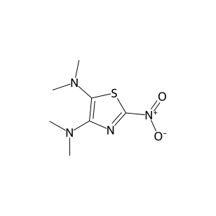 CN(C)c1nc([N+](=O)[O-])sc1N(C)C